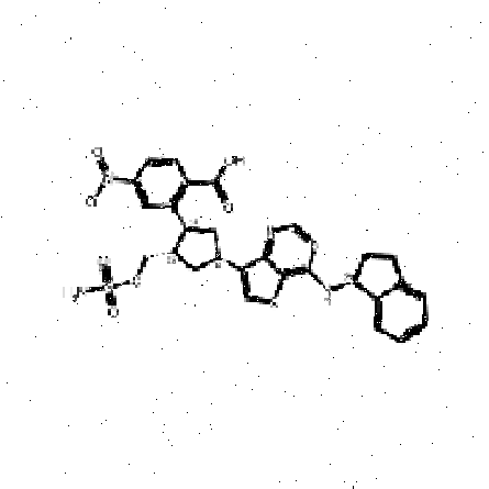 NS(=O)(=O)OC[C@H]1C[C@H](c2csc3c(N[C@H]4CCc5ccccc54)ncnc23)C[C@@H]1c1cc([N+](=O)[O-])ccc1C(=O)O